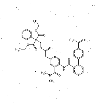 C=C(C)c1ccc(-c2ccccc2C(=O)Nc2ccc(CC(=O)OCC(C(=O)OCC)(C(=O)OCC)c3ccccc3)cc2C(=O)N(C)C)cc1